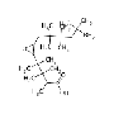 BC(C)(C)CC(C)(C)C(C)(C)CC1OC1C(C)(C)C(C)(C)C(C)C(=O)O